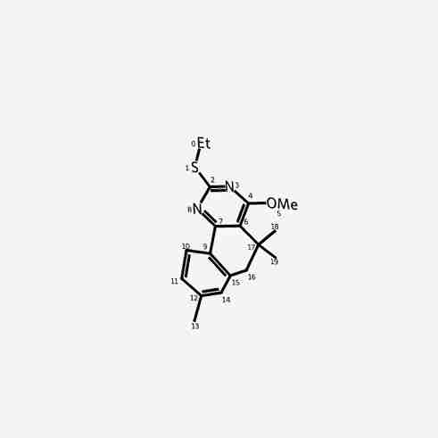 CCSc1nc(OC)c2c(n1)-c1ccc(C)cc1CC2(C)C